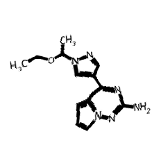 CCOC(C)n1cc(-c2nc(N)nn3cccc23)cn1